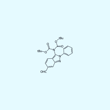 CC(C)(C)OC(=O)N(C(=O)OC(C)(C)C)c1c2ccc(C=O)cc2nn1-c1ccccc1